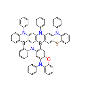 c1ccc(N2c3ccccc3Oc3cc4c(cc32)N2c3ccccc3B3c5ccccc5N(c5ccccc5)c5cc6c(c2c53)B4c2cc3c(cc2N6c2ccccc2)N(c2ccccc2)c2ccccc2S3)cc1